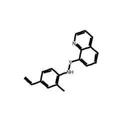 C=Cc1ccc(NSc2cccc3cccnc23)c(C)c1